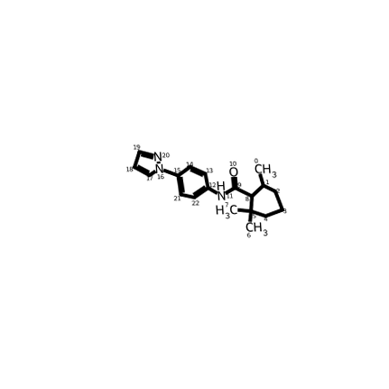 CC1CCCC(C)(C)C1C(=O)Nc1ccc(-n2cccn2)cc1